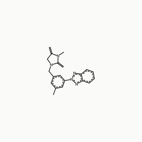 C=C1CN(Cc2cc(C)cc(-n3nc4ccccc4n3)c2)C(=C)N1C